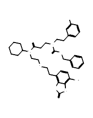 O=C(OCc1ccccc1)N(CCC(=O)N(CCNCCc1ccc(O)c2[nH]c(=O)sc12)C1CCCCC1)CCc1cccc(F)c1